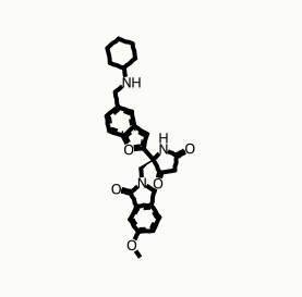 COc1ccc2c(c1)C(=O)N(C[C@@]1(c3cc4cc(CNC5CCCCC5)ccc4o3)NC(=O)CC1=O)C2